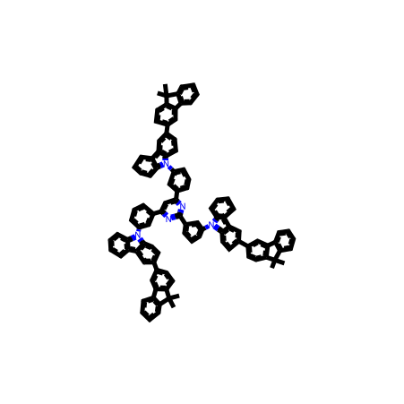 CC1(C)c2ccccc2-c2cc(-c3ccc4c(c3)c3ccccc3n4-c3cccc(-c4cc(-c5cccc(-n6c7ccccc7c7cc(-c8ccc9c(c8)-c8ccccc8C9(C)C)ccc76)c5)nc(-c5cccc(-n6c7ccccc7c7cc(-c8ccc9c(c8)-c8ccccc8C9(C)C)ccc76)c5)n4)c3)ccc21